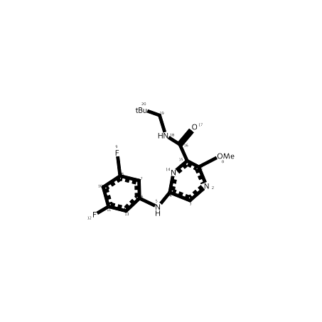 COc1ncc(Nc2cc(F)cc(F)c2)nc1C(=O)NCC(C)(C)C